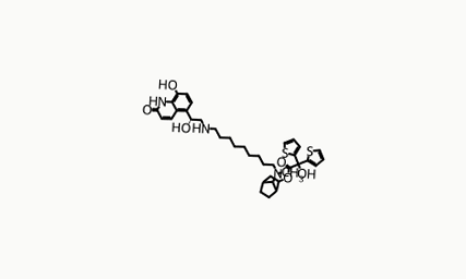 CN(CCCCCCCCCNC[C@H](O)c1ccc(O)c2[nH]c(=O)ccc12)C1C2CCC1C(OC(=O)C(O)(c1cccs1)c1cccs1)C2